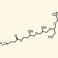 C=CCCC(=O)OCCC(O)COCC(O)COC(CO)COCC1CO1